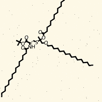 CCCCCCCCCCCCCCCCOCC(C)(OC(=O)CCCCCCCCCCC)SC[C@H](NC(=O)CCCCCCCCCCCCCCC)C(=O)OC(C)(C)C